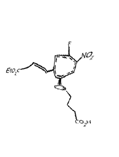 CCOC(=O)C=Cc1cc(F)c([N+](=O)[O-])cc1OCCCC(=O)O